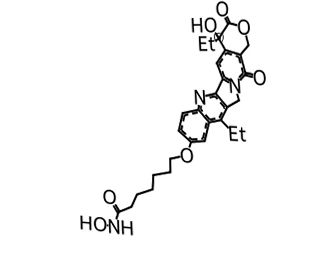 CCc1c2c(nc3ccc(OCCCCCCC(=O)NO)cc13)-c1cc3c(c(=O)n1C2)COC(=O)[C@]3(O)CC